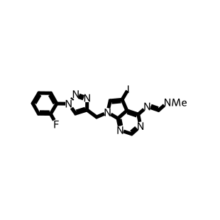 CN/C=N/c1ncnc2c1c(I)cn2Cc1cn(-c2ccccc2F)nn1